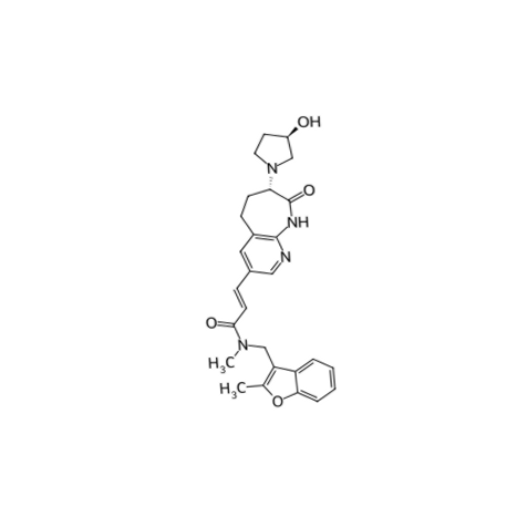 Cc1oc2ccccc2c1CN(C)C(=O)/C=C/c1cnc2c(c1)CC[C@H](N1CC[C@@H](O)C1)C(=O)N2